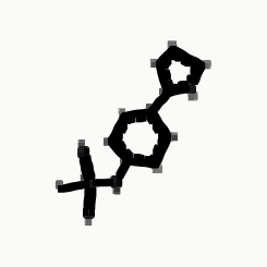 CS(=O)(=O)Oc1ccc(-c2cccs2)cc1